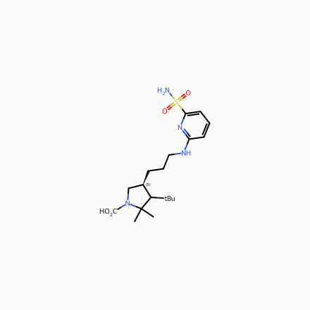 CC(C)(C)C1[C@H](CCCNc2cccc(S(N)(=O)=O)n2)CN(C(=O)O)C1(C)C